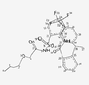 CCCOCC(=O)NS(=O)(=O)c1ccccc1NC(=O)c1ccccc1C(C)c1ccc(C(F)(F)F)cc1